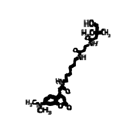 CN(C)c1ccc2c(CC(=O)NCCCCCCNC(=O)CCNC(=O)CC(C)(C)CO)cc(=O)oc2c1